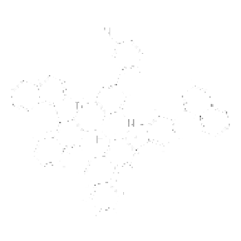 Nc1cccc(-c2cc3c4c(c2)-n2c5ccc6ccccc6c5c5c6ccccc6cc(c52)[SH]4c2c4ccc5ccccc5c4cc4c5ccc(-c6cccc7ccccc67)cc5n-3c24)c1